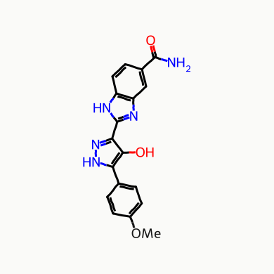 COc1ccc(-c2[nH]nc(-c3nc4cc(C(N)=O)ccc4[nH]3)c2O)cc1